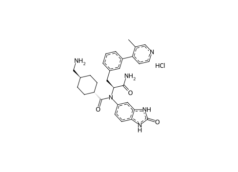 Cc1cnccc1-c1cccc(C[C@@H](C(N)=O)N(c2ccc3[nH]c(=O)[nH]c3c2)C(=O)[C@H]2CC[C@H](CN)CC2)c1.Cl